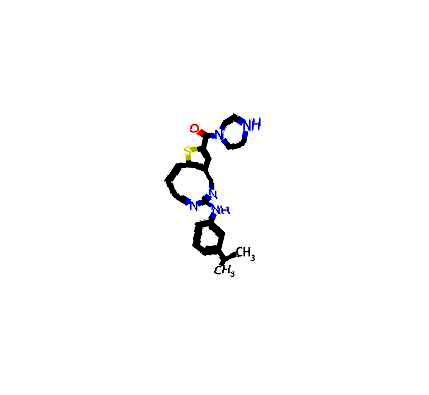 CC(C)c1cccc(NC2=N/Cc3cc(C(=O)N4CCNCC4)sc3/C=C\C/C=N\2)c1